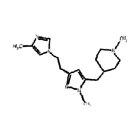 Cc1cn(CCc2cc(CC3CCN(C)CC3)n(C)n2)cn1